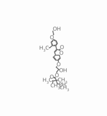 CCc1cc(OCCO)ccc1C1=CC2C=CC(OCC(O)COC(=O)C(C)(CPC)C(C)C)=CC2OC1=O